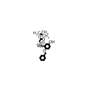 CC(C)(C)OC(=O)CS(=O)(=O)Nc1cc(O)ccc1OCc1ccccc1